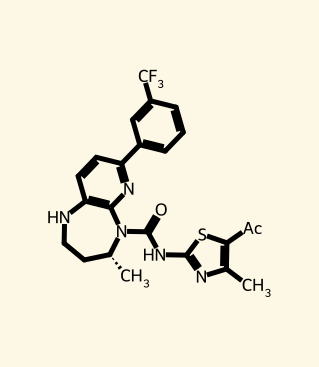 CC(=O)c1sc(NC(=O)N2c3nc(-c4cccc(C(F)(F)F)c4)ccc3NCC[C@H]2C)nc1C